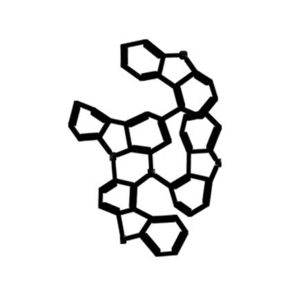 c1ccc2c(c1)B1c3ccc4sc5ccccc5c4c3N(c3cccc4sc5ccccc5c34)c3cc(-c4cccc5oc6ccccc6c45)cc-2c31